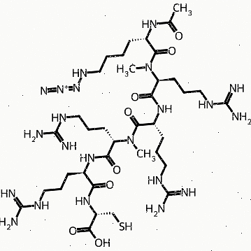 CC(=O)N[C@@H](CCCCNN=[N+]=[N-])C(=O)N(C)[C@@H](CCCNC(=N)N)C(=O)N[C@H](CCCNC(=N)N)C(=O)N(C)[C@@H](CCCNC(=N)N)C(=O)N[C@H](CCCNC(=N)N)C(=O)N[C@H](CS)C(=O)O